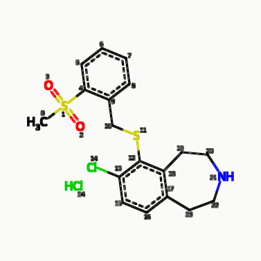 CS(=O)(=O)c1ccccc1CSc1c(Cl)ccc2c1CCNCC2.Cl